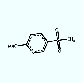 COc1ccc(S(C)(=O)=O)cn1